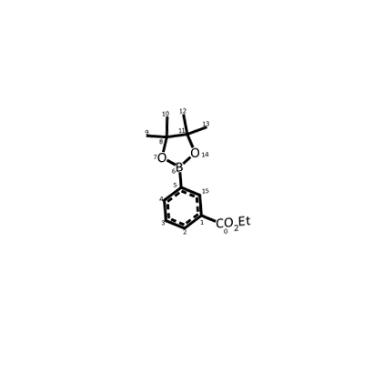 CCOC(=O)c1cccc(B2OC(C)(C)C(C)(C)O2)c1